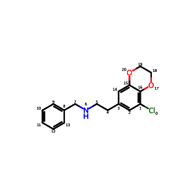 Clc1cc(CCNCc2ccccc2)cc2c1OCCO2